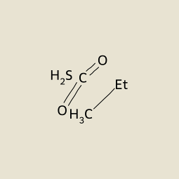 CCC.O=C=O.S